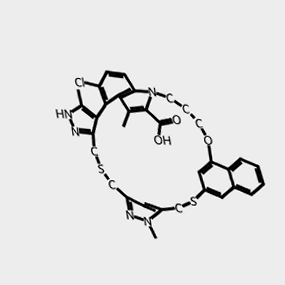 Cc1[nH]nc2c1-c1c(Cl)ccc3c1c(C)c(C(=O)O)n3CCCOc1cc(cc3ccccc13)SCc1cc(nn1C)CSC2